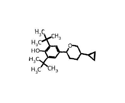 CC(C)(C)c1cc(C2CCC(C3CC3)CO2)cc(C(C)(C)C)c1O